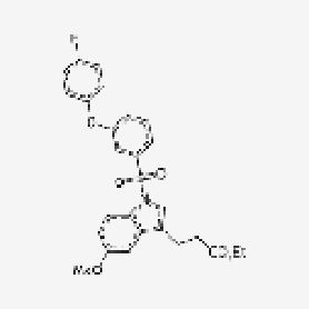 CCOC(=O)CCc1cn(S(=O)(=O)c2cccc(Oc3ccc(F)cc3)c2)c2ccc(OC)cc12